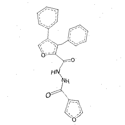 O=C(NNC(=O)c1occ(-c2ccccc2)c1-c1ccccc1)c1ccoc1